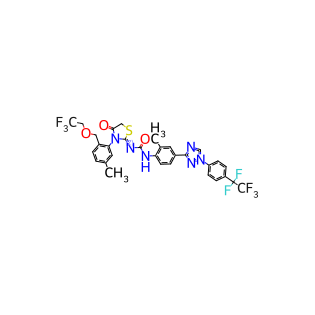 Cc1ccc(COCC(F)(F)F)c(N2C(=O)CS/C2=N\C(=O)Nc2ccc(-c3ncn(-c4ccc(C(F)(F)C(F)(F)F)cc4)n3)cc2C)c1